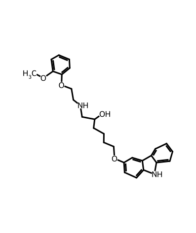 COc1ccccc1OCCNCC(O)CCCCOc1ccc2[nH]c3ccccc3c2c1